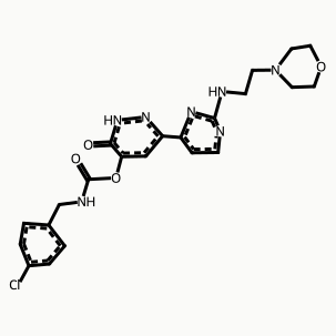 O=C(NCc1ccc(Cl)cc1)Oc1cc(-c2ccnc(NCCN3CCOCC3)n2)n[nH]c1=O